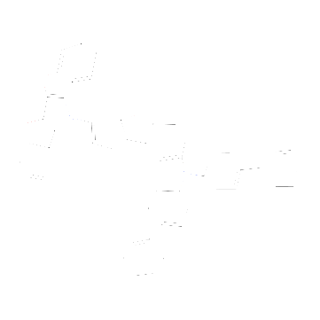 C1=CC(N(C2=CC=C(c3ccccc3)CC2)c2ccc3oc4cc(-n5c6c7ccccc7oc6c6oc7ccccc7c65)ccc4c3c2)CC=C1c1ccccc1